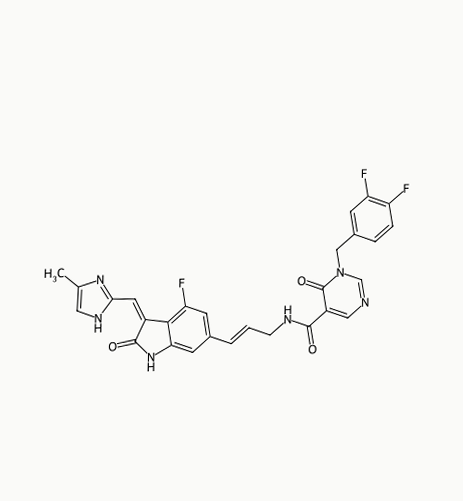 Cc1c[nH]c(/C=C2\C(=O)Nc3cc(/C=C/CNC(=O)c4cncn(Cc5ccc(F)c(F)c5)c4=O)cc(F)c32)n1